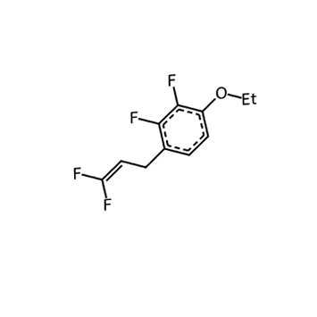 CCOc1ccc(CC=C(F)F)c(F)c1F